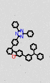 c1ccc(-c2nc(-c3ccccc3)nc(-c3ccc(-c4cccc5oc6cc(-c7cccc(C(c8ccccc8)c8ccccc8)c7)ccc6c45)cc3)n2)cc1